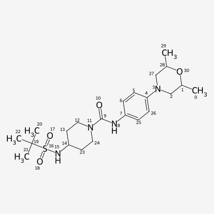 CC1CN(c2ccc(NC(=O)N3CCC(NS(=O)(=O)C(C)(C)C)CC3)cc2)CC(C)O1